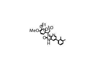 CCOc1nc(C(CS(C)(=O)=O)n2c(=O)[nH]c3cc(-c4cccc(C)c4C)cnc32)ccc1OC